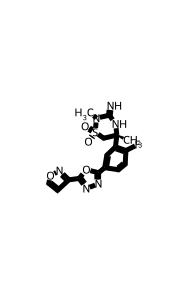 CN1C(=N)N[C@](C)(c2cc(-c3nnc(-c4ccon4)o3)ccc2F)CS1(=O)=O